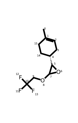 CC1=CC[C@H](C2OC2OCC(F)(F)F)CC1